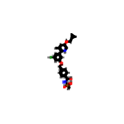 Cc1cc(OCC2CC2)cnc1-c1cc(F)cc(OCc2ccc(C(=O)NS(C)(=O)=O)cc2)c1